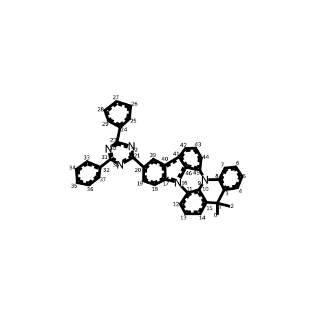 CC1(C)c2ccccc2N2c3c(cccc31)-n1c3ccc(-c4nc(-c5ccccc5)nc(-c5ccccc5)n4)cc3c3cccc2c31